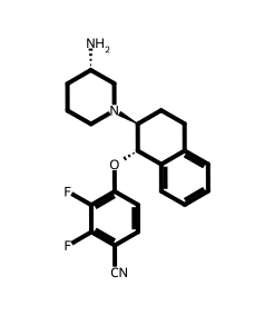 N#Cc1ccc(O[C@H]2c3ccccc3CC[C@@H]2N2CCC[C@H](N)C2)c(F)c1F